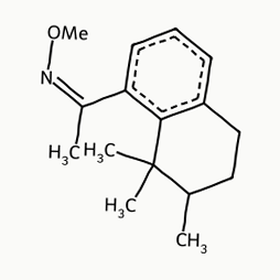 CO/N=C(/C)c1cccc2c1C(C)(C)C(C)CC2